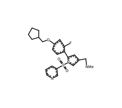 CNCc1cc(-c2ccc(OCC3CCCC3)cc2F)n(S(=O)(=O)c2cccnc2)c1